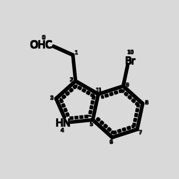 O=CCc1c[nH]c2cccc(Br)c12